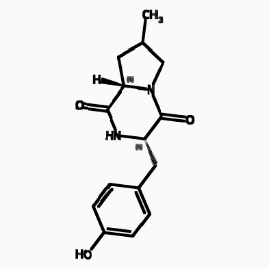 CC1C[C@H]2C(=O)N[C@@H](Cc3ccc(O)cc3)C(=O)N2C1